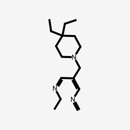 C=N/C=C(\C=N/CC)CN1CCC(CC)(CC)CC1